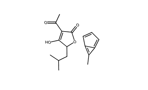 CC(=O)C1=C(O)C(CC(C)C)OC1=O.Cc1c2cccc1-2